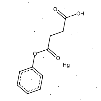 O=C(O)CCC(=O)Oc1ccccc1.[Hg]